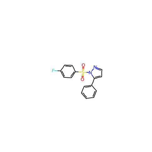 O=S(=O)(c1ccc(F)cc1)n1nccc1-c1ccccc1